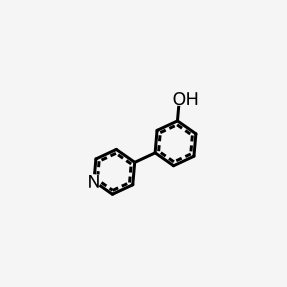 Oc1cccc(-c2ccncc2)c1